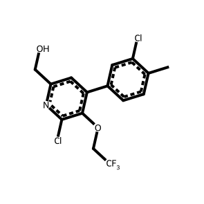 Cc1ccc(-c2cc(CO)nc(Cl)c2OCC(F)(F)F)cc1Cl